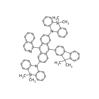 CC1(C)c2ccccc2-c2ccc(-c3c4cc(N5c6ccccc6[Si](C)(C)c6ccccc65)ccc4c(-c4nccc5ccccc45)c4cc(N5c6ccccc6[Si](C)(C)c6ccccc65)ccc34)cc21